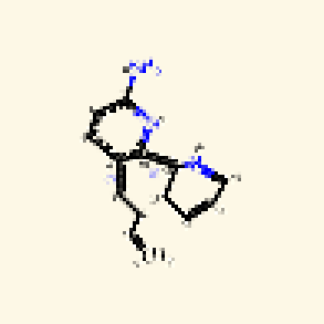 C=CC/C=c1/ccc(N)n/c1=C1/CC=CC=N1